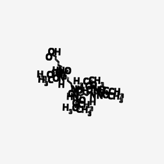 CC(C)(C)OC(=O)/N=C(/NCCCCC(O)(NC(=O)OC(C)(C)C)C(=O)NCCCC[C@H](NC(=O)OC(C)(C)C)C(=O)NCCCCCC(=O)O)NC(=O)OC(C)(C)C